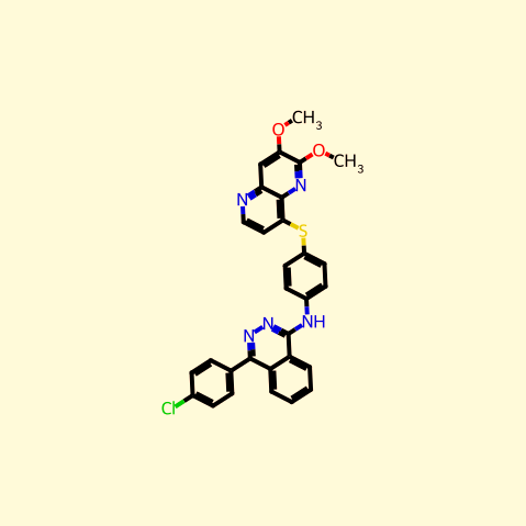 COc1cc2nccc(Sc3ccc(Nc4nnc(-c5ccc(Cl)cc5)c5ccccc45)cc3)c2nc1OC